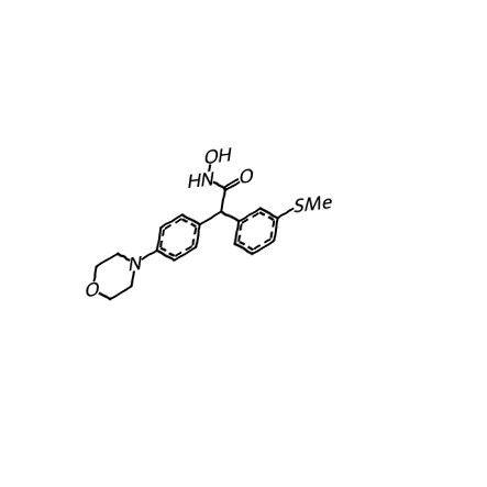 CSc1cccc(C(C(=O)NO)c2ccc(N3CCOCC3)cc2)c1